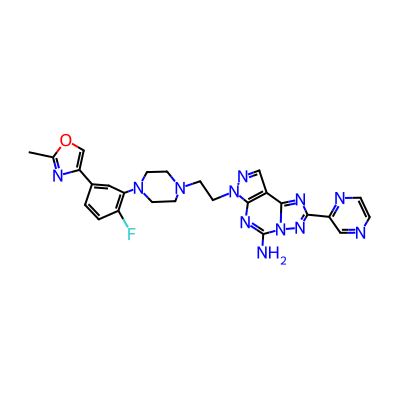 Cc1nc(-c2ccc(F)c(N3CCN(CCn4ncc5c4nc(N)n4nc(-c6cnccn6)nc54)CC3)c2)co1